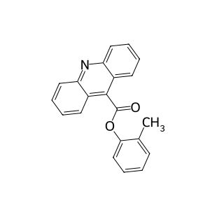 Cc1ccccc1OC(=O)c1c2ccccc2nc2ccccc12